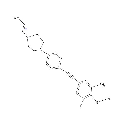 CCC/C=C/C1CCC(c2ccc(C#Cc3cc(F)c(SC#N)c(P)c3)cc2)CC1